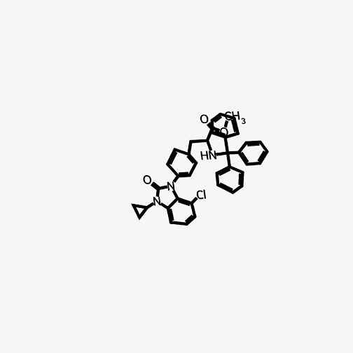 COC(=O)C(Cc1ccc(-n2c(=O)n(C3CC3)c3cccc(Cl)c32)cc1)NC(c1ccccc1)(c1ccccc1)c1ccccc1